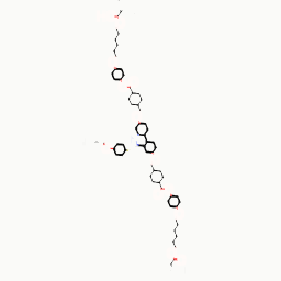 C=CC(=O)OCCCCCCOc1ccc(OC(=O)C2CCC(COc3ccc4c(c3)c(Sc3ccc(OCCCCCC)cc3)nc3cc(OCC5CCC(C(=O)Oc6ccc(OCCCCCCOC(O)C=C)cc6)CC5)ccc34)CC2)cc1